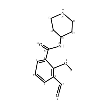 COc1c(C=O)cccc1C(=O)NC1CCNCC1